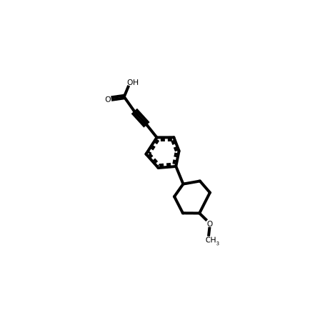 COC1CCC(c2ccc(C#CC(=O)O)cc2)CC1